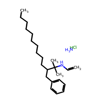 C=CNC(C)(C)C(CCCCCCCCCC)Cc1ccccc1.Cl.N